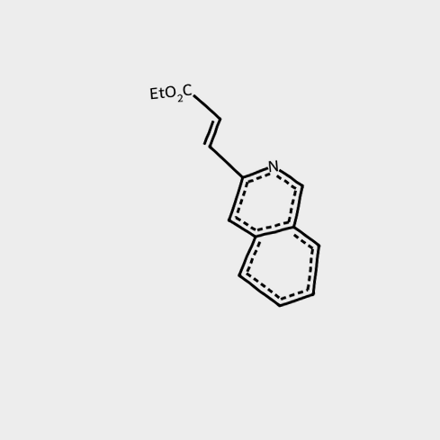 CCOC(=O)/C=C/c1cc2ccccc2cn1